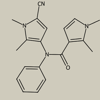 Cc1c(C(=O)N(c2ccccc2)c2cc(C#N)n(C)c2C)ccn1C